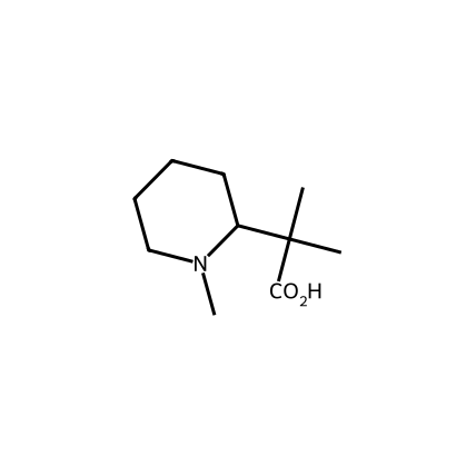 CN1CCCCC1C(C)(C)C(=O)O